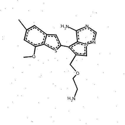 COc1cc(C)cc2cc(-c3c(COCCN)cn4ncnc(N)c34)sc12